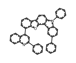 c1ccc(-c2ccc3c(c2)c2c4oc5c(-c6cc(-c7ccccc7)nc7ccccc67)cccc5c4ccc2n3-c2ccccc2)cc1